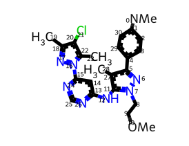 CNc1ccc(-c2nn(CCOC)c(Nc3cc(-n4nc(C)c(Cl)c4C)ncn3)c2C)cc1